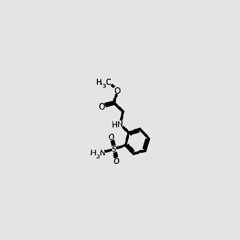 COC(=O)CNc1ccccc1S(N)(=O)=O